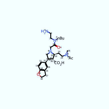 CCCCN(CCN)C(=O)CN1C[C@H](c2ccc3c(c2)CCO3)[C@@H](C(=O)O)[C@@H]1CCN(C)C(C)=O